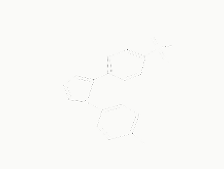 Cc1ccc(-n2cccc2-c2ccc(S(C)(=O)=O)cc2)cc1